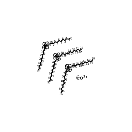 CCCCCCCCCCCCOP(=O)([O-])OCCCCCCCCCCCC.CCCCCCCCCCCCOP(=O)([O-])OCCCCCCCCCCCC.CCCCCCCCCCCCOP(=O)([O-])OCCCCCCCCCCCC.[Co+3]